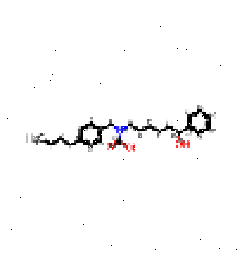 CCCCc1ccc(CN(CCCCCC(O)c2ccccc2)C(=O)O)cc1